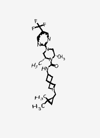 C[C@@H]1CN(c2ncc(C(F)(F)F)cn2)C[C@H](C)N1C(=O)NC1CC2(C1)CN(CC1CC1(C)C)C2